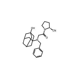 N#C[C@@H]1CCCN1C(=O)CN(Cc1ccccc1)C12CC3CC(CC(O)(C3)C1)C2